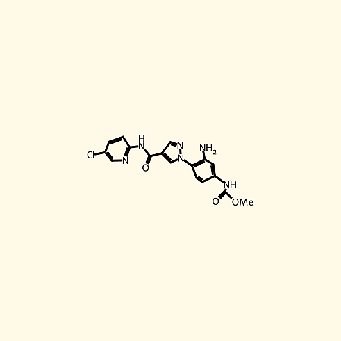 COC(=O)Nc1ccc(-n2cc(C(=O)Nc3ccc(Cl)cn3)cn2)c(N)c1